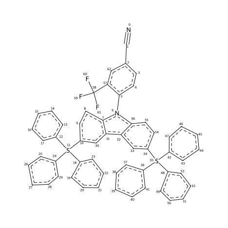 N#Cc1ccc(-n2c3ccc(S(c4ccccc4)(c4ccccc4)c4ccccc4)cc3c3cc(S(c4ccccc4)(c4ccccc4)c4ccccc4)ccc32)c(C(F)(F)F)c1